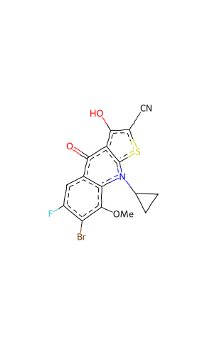 COc1c(Br)c(F)cc2c(=O)c3c(O)c(C#N)sc3n(C3CC3)c12